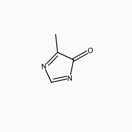 CC1=NC=NC1=O